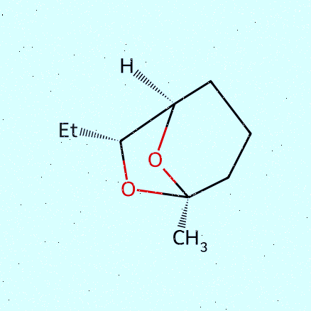 CC[C@H]1O[C@]2(C)CCC[C@H]1O2